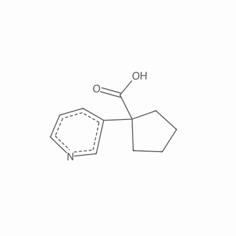 O=C(O)C1(c2cccnc2)CCCC1